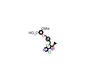 COc1cc(OCC23CCC(CCc4c(-c5c(Cl)cncc5Cl)noc4C4CC4)(CC2)CC3)cc(C(=O)O)c1